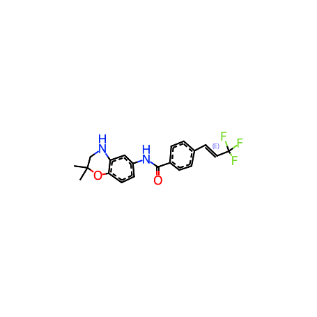 CC1(C)CNc2cc(NC(=O)c3ccc(/C=C/C(F)(F)F)cc3)ccc2O1